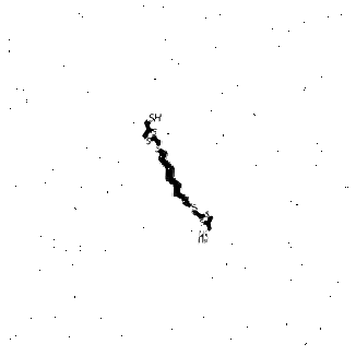 SCC1CSC(CSCCCCCCCCSCC2SCC(CS)S2)S1